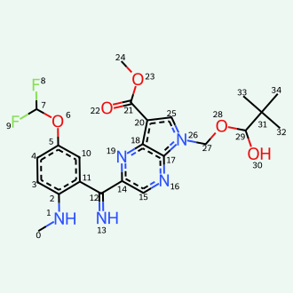 CNc1ccc(OC(F)F)cc1C(=N)c1cnc2c(n1)c(C(=O)OC)cn2COC(O)C(C)(C)C